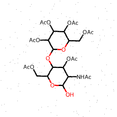 CC(=O)NC1C(O)OC(COC(C)=O)C(OC2OC(COC(C)=O)C(OC(C)=O)C(OC(C)=O)C2OC(C)=O)C1OC(C)=O